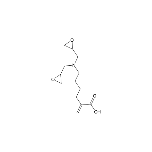 C=C(CCCCN(CC1CO1)CC1CO1)C(=O)O